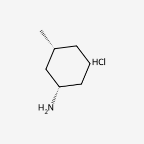 C[C@@H]1CCC[C@H](N)C1.Cl